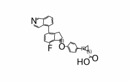 O=C(O)[C@H]1C[C@@H]1c1ccc(O[C@@H]2CCc3c(-c4cccc5cnccc45)ccc(F)c32)cc1